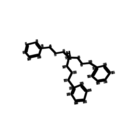 c1ccc(CCC[SiH](CCCc2ccccc2)CCCc2ccccc2)cc1